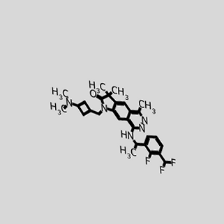 Cc1nnc(NC(C)c2cccc(C(F)F)c2F)c2cc3c(cc12)C(C)(C)C(=O)N3CC1CC(N(C)C)C1